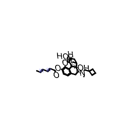 C/C=C/C=C/C(=O)Oc1ccc2c3c1O[C@H]1[C@@H](O)CC4C[C@]31[C@]4(O)[C@H](N(C)CC1CCC1)C2